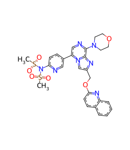 CS(=O)(=O)N(c1ccc(-c2cnc(N3CCOCC3)c3nc(COc4ccc5ccccc5n4)cn23)cn1)S(C)(=O)=O